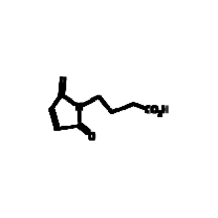 C=C1C=CC(=O)N1CCCC(=O)O